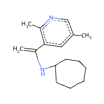 C=C(NC1CCCCCC1)c1cc(C)cnc1C